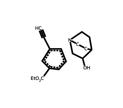 C#Cc1cccc(C(=O)OCC)c1.OC1CN2CCC1CC2